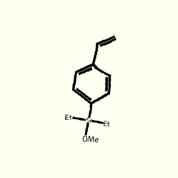 C=Cc1ccc([Si](CC)(CC)OC)cc1